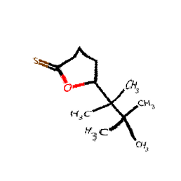 CC(C)(C)C(C)(C)C1CCC(=S)O1